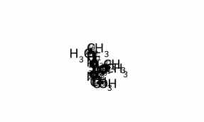 Cc1ncc(-c2ccc(C(F)(F)CC(C)C)nc2)c(N2CCC(C)(C)CC2)c1CC(=O)O